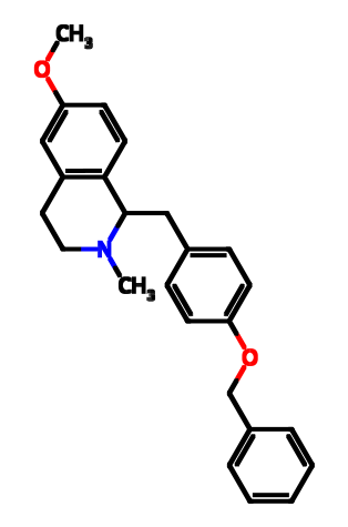 COc1ccc2c(c1)CCN(C)C2Cc1ccc(OCc2ccccc2)cc1